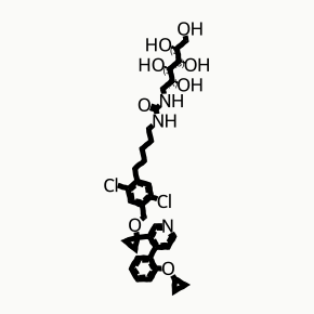 O=C(NCCCCCc1cc(Cl)c(COC2(c3cnccc3-c3ccccc3OC3CC3)CC2)cc1Cl)NC[C@@H](O)[C@H](O)[C@@H](O)[C@@H](O)CO